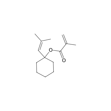 C=C(C)C(=O)OC1(C=C(C)C)CCCCC1